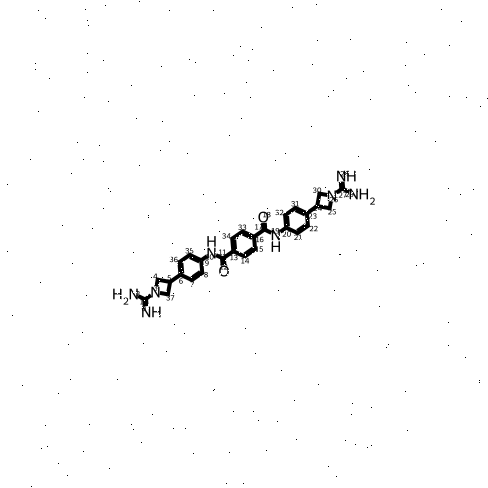 N=C(N)N1CC(c2ccc(NC(=O)c3ccc(C(=O)Nc4ccc(C5CN(C(=N)N)C5)cc4)cc3)cc2)C1